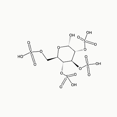 O=S(=O)(O)OC[C@H]1O[C@H](O)[C@H](OS(=O)(=O)O)[C@@H](OS(=O)(=O)O)[C@@H]1OS(=O)(=O)O